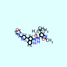 Cc1nc2cc(C(C)(C)C)cc(NC(=O)Nc3ccc(-c4ccc(CN5CCOCC5)nc4)c4ccccc34)c2o1